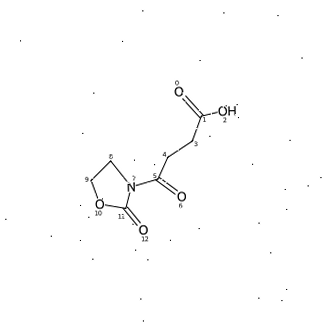 O=C(O)CCC(=O)N1CCOC1=O